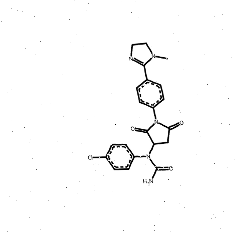 CN1CCN=C1c1ccc(N2C(=O)CC(N(C(N)=O)c3ccc(Cl)cc3)C2=O)cc1